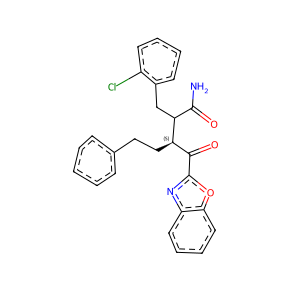 NC(=O)C(Cc1ccccc1Cl)[C@H](CCc1ccccc1)C(=O)c1nc2ccccc2o1